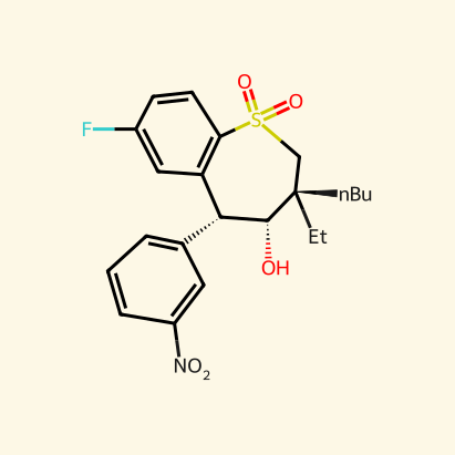 CCCC[C@]1(CC)CS(=O)(=O)c2ccc(F)cc2[C@@H](c2cccc([N+](=O)[O-])c2)[C@H]1O